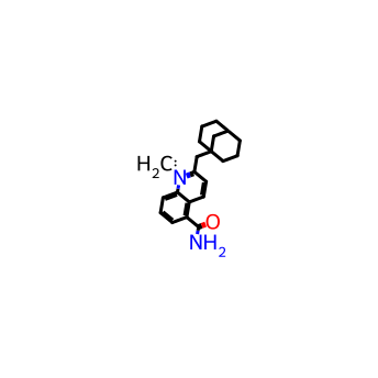 NC(=O)c1cccc2nc(CC34CCCC(CCC3)C4)ccc12.[CH2]